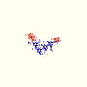 Nc1nc(N)nc(N)n1.Nc1nc(N)nc(N)n1.Nc1nc(N)nc(N)n1.Nc1nc(N)nc(N)n1.O=P(O)(O)O.O=P(O)(O)O.O=P(O)(O)O